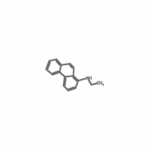 CCNc1cccc2c1ccc1ccccc12